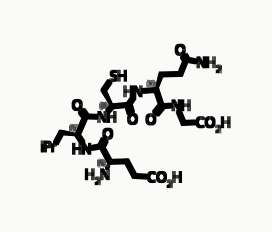 CC(C)C[C@H](NC(=O)[C@@H](N)CCC(=O)O)C(=O)N[C@@H](CS)C(=O)N[C@@H](CCC(N)=O)C(=O)NCC(=O)O